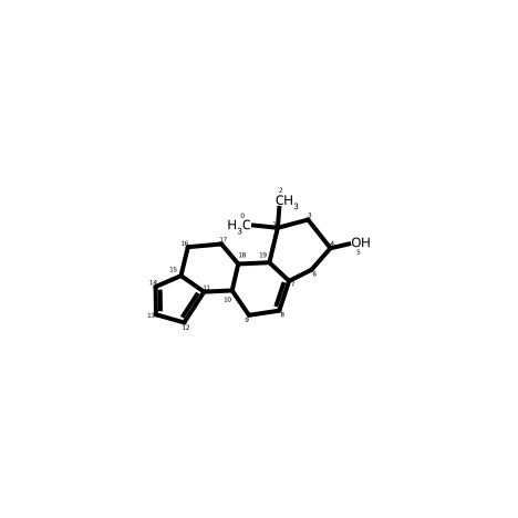 CC1(C)CC(O)CC2=CCC3C4=CC=CC4CCC3C21